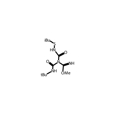 CCC(C)SNC(=O)N(C(=N)OC)C(=O)NC(C)(C)C